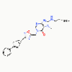 COCCNc1nc2ncn(Cc3nc(C4C5C=C(c6ccccc6)CC54)no3)c(=O)c2n1C